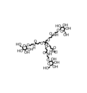 O=C(CCOCC(COCCC(=O)NCCO[C@H]1O[C@H](CO)[C@@H](O)[C@H](O)[C@@H]1O)(COCCC(=O)NCCO[C@H]1O[C@H](CO)[C@@H](O)[C@H](O)[C@@H]1O)COCCC(=O)NCCO[C@H]1O[C@H](CO)[C@@H](O)[C@H](O)[C@@H]1O)NCl